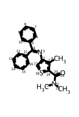 Cc1c(N=C(c2ccccc2)c2ccccc2)csc1C(=O)N(C)C